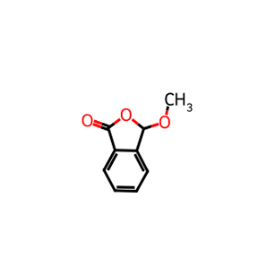 COC1OC(=O)c2ccccc21